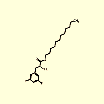 CCCCCCCCCCCCOC(=O)[C@@H](N)Cc1cc(F)cc(F)c1